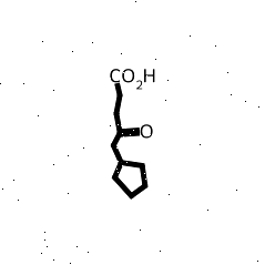 O=C(O)CCC(=O)CC1CCCC1